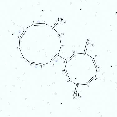 C=C1/C=C\C=C/CC/C=C\N=C(\c2ccc(=C)ccccc(=C)c2)CS1